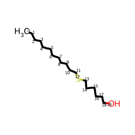 CCCCCCCCCCCCSCCCCCCO